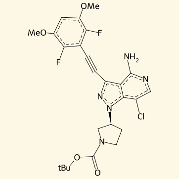 COc1cc(OC)c(F)c(C#Cc2nn([C@H]3CCN(C(=O)OC(C)(C)C)C3)c3c(Cl)cnc(N)c23)c1F